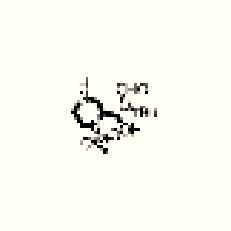 CC(C)(C)OC=O.CS(=O)(=O)N1CCNCC1CO